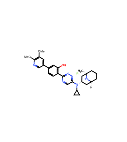 COc1cc(-c2ccc(-c3ncc(N(C4CC4)[C@H]4C[C@@H]5CCC[C@@](C)(N5)[C@H]4F)nn3)c(O)c2)cnc1OC